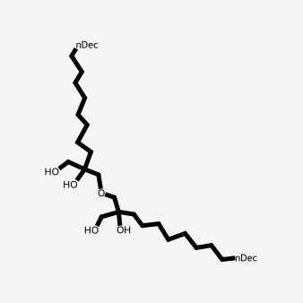 CCCCCCCCCCCCCCCCCCC(O)(CO)COCC(O)(CO)CCCCCCCCCCCCCCCCCC